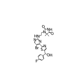 CC1(C)C(=O)NC(=O)N1CCNc1ncc(Br)c(-c2ncc(C(O)c3ccc(F)cc3)s2)n1